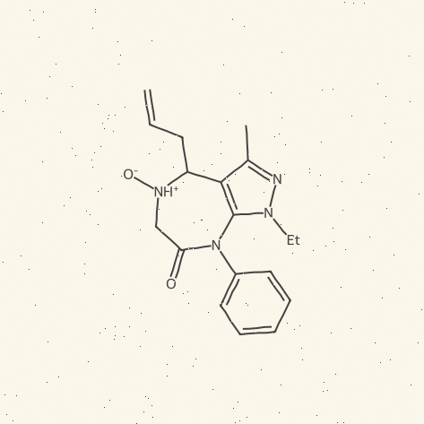 C=CCC1c2c(C)nn(CC)c2N(c2ccccc2)C(=O)C[NH+]1[O-]